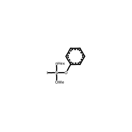 CCCCCC[Si](I)(OC)Oc1ccccc1